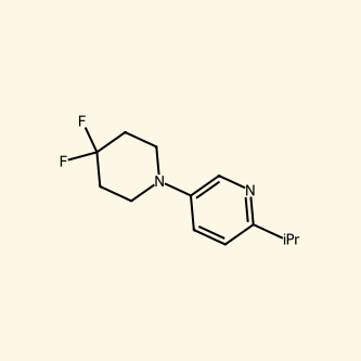 CC(C)c1ccc(N2CCC(F)(F)CC2)cn1